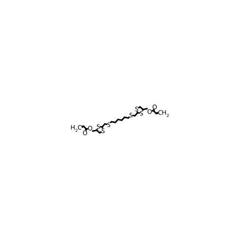 C=CC(=O)OCC1CSC(CSCCCCCCSCC2SCC(COC(=O)C=C)S2)S1